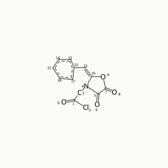 O=C(Cl)CN1C(=O)C(=O)OC1=Cc1ccccc1